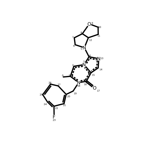 Cc1cn2c(N3CCC4OCCC43)ncc2c(=O)n1CC1=CC(F)=CC=CC1